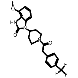 COc1cccc2c1[nH]c(=O)n2C1CCN(C(=O)Cc2ccc(C(F)(F)F)cc2)CC1